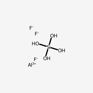 O[Si](O)(O)O.[Al+3].[F-].[F-].[F-]